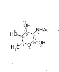 CC(=O)NC1[C@H](O)OC(C)[C@@H](O)[C@H]1O